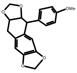 COc1ccc(C2c3cc4c(cc3CC3OCOC32)OCO4)cc1